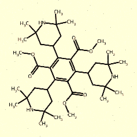 COC(=O)c1c(C2CC(C)(C)NC(C)(C)C2)c(C(=O)OC)c(C2CC(C)(C)NC(C)(C)C2)c(C(=O)OC)c1C1CC(C)(C)NC(C)(C)C1